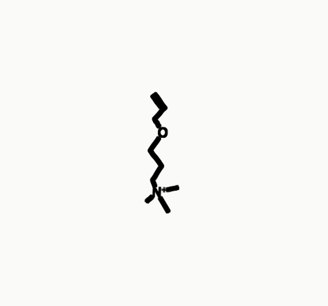 C=CCOCCC[N+](C)(C)C